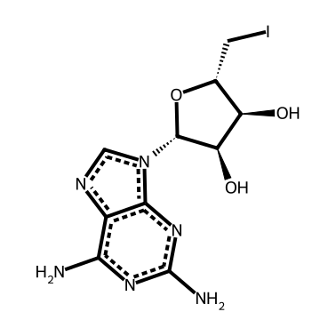 Nc1nc(N)c2ncn([C@@H]3O[C@H](CI)[C@@H](O)[C@H]3O)c2n1